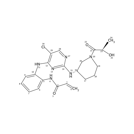 C=CC(=O)Nc1ccccc1Nc1nc(N[C@H]2CCCN(C(=O)[C@@H](C)O)C2)ncc1Cl